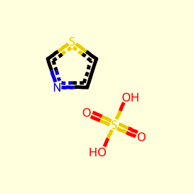 O=S(=O)(O)O.c1cscn1